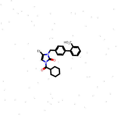 CCc1cn(C(=O)C2CCCCC2)c(=O)n1Cc1ccc(-c2ccccc2C(=O)O)cc1